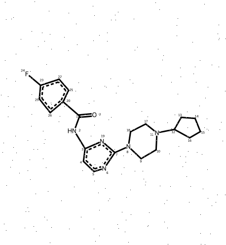 O=C(Nc1ccnc(N2CCN(C3CCCC3)CC2)n1)c1ccc(F)cc1